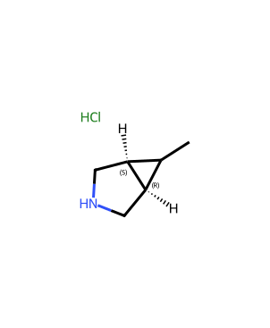 CC1[C@H]2CNC[C@@H]12.Cl